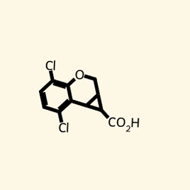 O=C(O)C1C2COc3c(Cl)ccc(Cl)c3C21